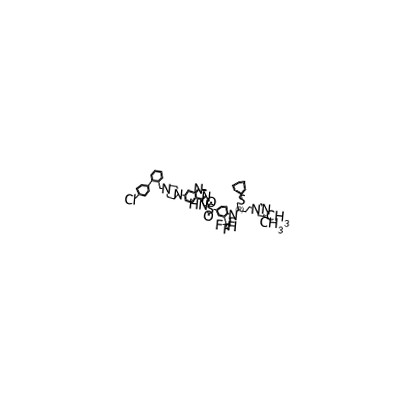 CC1(C)CN(CC[C@H](CSc2ccccc2)Nc2ccc(S(=O)(=O)Nc3ncnc4cc(N5CCN(Cc6ccccc6-c6ccc(Cl)cc6)CC5)ccc34)cc2C(F)(F)F)C=N1